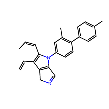 C=Cc1c2c(n(-c3ccc(-c4ccc(C)cc4)c(C)c3)c1/C=C\C)C=NC2